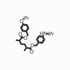 CC(C)Nc1ccc(COC(=O)C(C)CCC(C)C(=O)OCc2ccc(OC(C)C)cc2)cc1